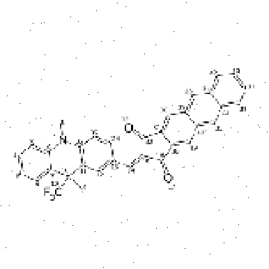 CN1c2ccccc2C(C)(C(F)(F)F)c2cc(C=C3C(=O)c4cc5cc6ccccc6cc5cc4C3=O)ccc21